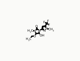 CCOC1C(O)N(c2cc(C(F)(F)F)n(C)n2)C(=O)N1C